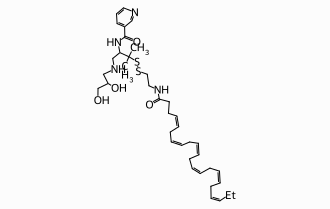 CC/C=C\C/C=C\C/C=C\C/C=C\C/C=C\C/C=C\CCC(=O)NCCSSC(C)(C)C(CNCC(O)CO)NC(=O)c1cccnc1